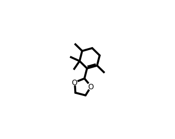 CC1=C(C2OCCO2)C(C)(C)C(C)CC1